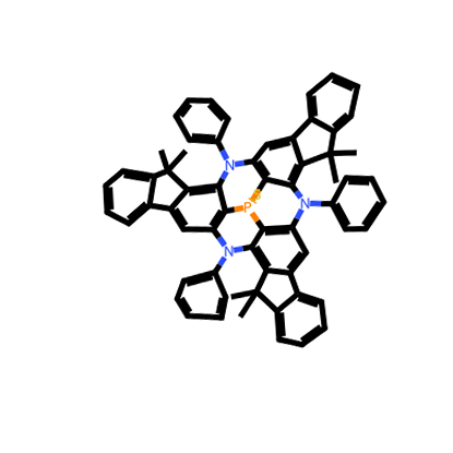 CC1(C)c2ccccc2-c2cc3c4c(c21)N(c1ccccc1)c1cc2c(c5c1P4(=S)c1c(cc4c(c1N3c1ccccc1)C(C)(C)c1ccccc1-4)N5c1ccccc1)C(C)(C)c1ccccc1-2